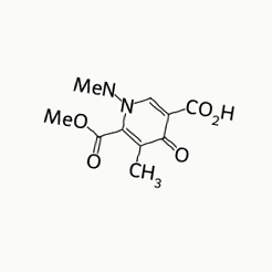 CNn1cc(C(=O)O)c(=O)c(C)c1C(=O)OC